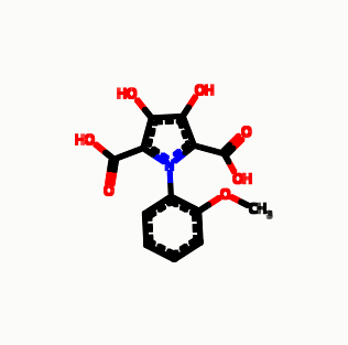 COc1ccccc1-n1c(C(=O)O)c(O)c(O)c1C(=O)O